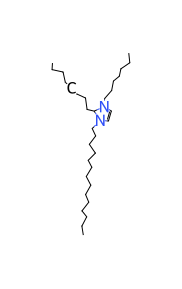 CCCCCCCCCCCCCCN1C=CN(CCCCCCC)C1CCCCCCCC